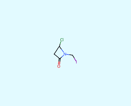 O=C1CC(Cl)N1CI